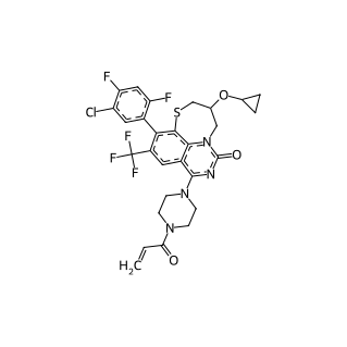 C=CC(=O)N1CCN(c2nc(=O)n3c4c(c(-c5cc(Cl)c(F)cc5F)c(C(F)(F)F)cc24)SCC(OC2CC2)C3)CC1